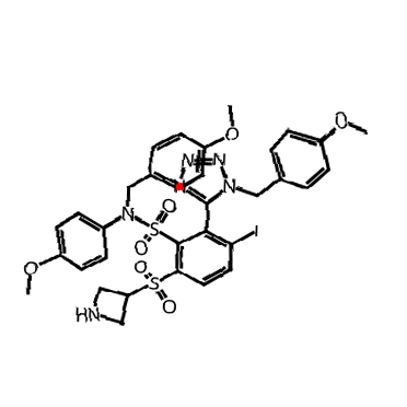 COc1ccc(CN(c2ccc(OC)cc2)S(=O)(=O)c2c(S(=O)(=O)C3CNC3)ccc(I)c2-c2nnnn2Cc2ccc(OC)cc2)cc1